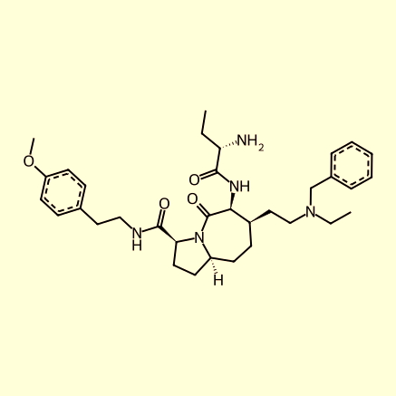 CC[C@H](N)C(=O)N[C@@H]1C(=O)N2[C@@H](CC[C@@H]1CCN(CC)Cc1ccccc1)CC[C@H]2C(=O)NCCc1ccc(OC)cc1